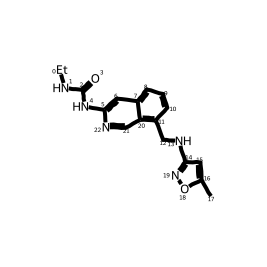 CCNC(=O)Nc1cc2cccc(CNc3cc(C)on3)c2cn1